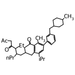 CCCC(CC1CC(=O)c2c(C)c(-c3cccc(CC4CCC(C)CC4)c3)cc(C(C)C)c2C1)C(CC)C(=O)CC(C)=O